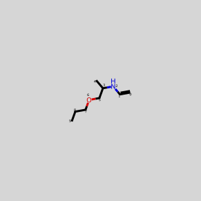 C=CNC(C)COCCC